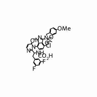 COc1ccc(CN(c2nn(C)c3c(-n4c(C(Cc5cc(F)cc(F)c5)NC(=O)O)nccc4=O)ccc(Cl)c23)S(C)(=O)=O)cc1